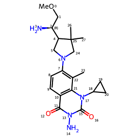 COC[C@H](N)C1CN(c2ccc3c(=O)n(N)c(=O)n(C4CC4)c3c2C)CC1(C)C